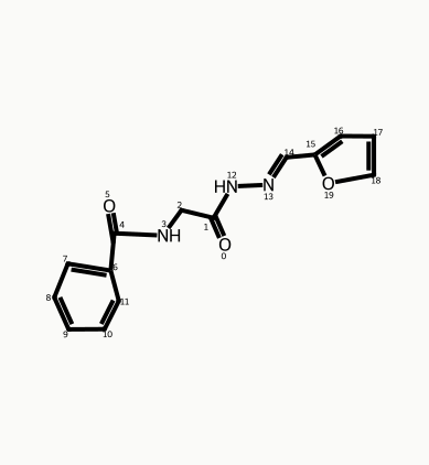 O=C(CNC(=O)c1ccccc1)N/N=C/c1ccco1